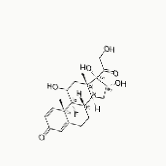 C[C@]12C=CC(=O)C=C1CC[C@H]1[C@@H]3C[C@@H](O)[C@](O)(C(=O)CO)[C@@]3(C)CC(O)[C@@]12F